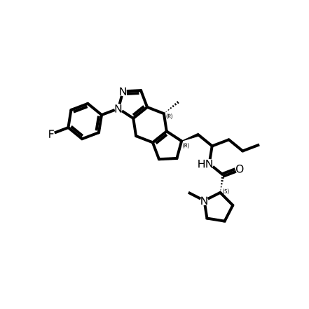 CCCC(C[C@H]1CCC2=C1[C@@H](C)c1cnn(-c3ccc(F)cc3)c1C2)NC(=O)[C@@H]1CCCN1C